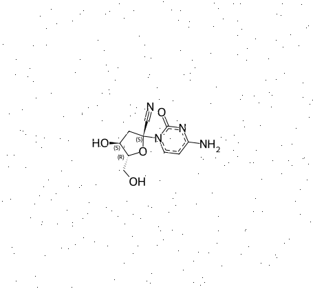 N#C[C@]1(n2ccc(N)nc2=O)C[C@H](O)[C@@H](CO)O1